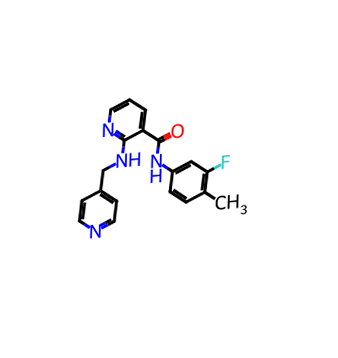 Cc1ccc(NC(=O)c2cccnc2NCc2ccncc2)cc1F